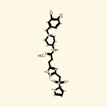 Cl.O=C(CCc1nc(CS(=O)(=O)c2cccs2)no1)NC1CCN(Cc2ccc(Cl)c(Cl)c2)CC1